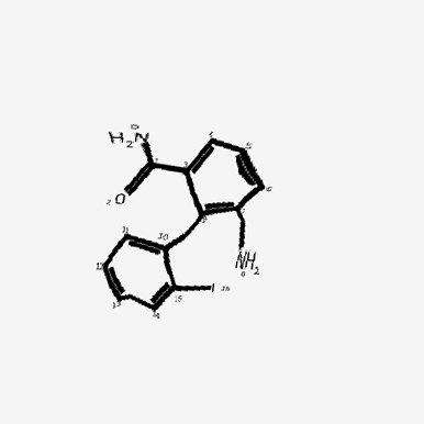 NC(=O)c1cccc(N)c1-c1ccccc1I